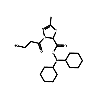 CC1=NN(C(=O)CCS)C(C(=O)ON(C2CCCCC2)C2CCCCC2)S1